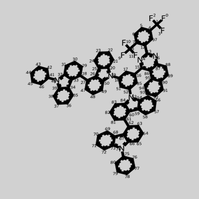 FC(F)(F)c1ccc(C(F)(F)F)c(-c2nc(-c3cc(-n4c5ccccc5c5c(-c6cccc7c6c6ccccc6n7-c6ccccc6)cccc54)cc(-n4c5ccccc5c5c(-c6cccc7c6c6ccccc6n7-c6ccccc6)cccc54)c3)c3c(ccc4ccccc43)n2)c1